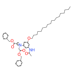 CCCCCCCCCCCCCCCCCCOc1cc(NC(C)=O)cc(N(CC(=O)OCc2ccccc2)CC(=O)OCc2ccccc2)c1